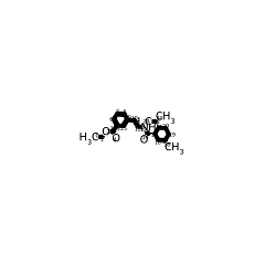 CCOC(=O)c1cccc(CCNC(=O)[C@@H]2CC(C)CC[C@H]2C(C)C)c1